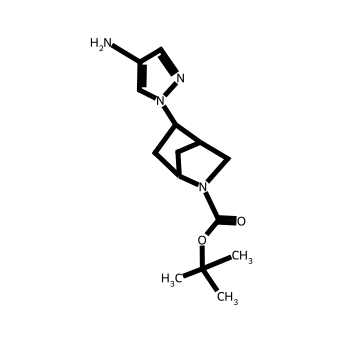 CC(C)(C)OC(=O)N1CC2CC1CC2n1cc(N)cn1